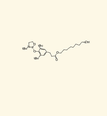 CCCCCCCCCCCCCCCCCCOC(=O)CCc1cc(C(C)(C)C)c(OP2OCCN2C(C)(C)C)c(C(C)(C)C)c1